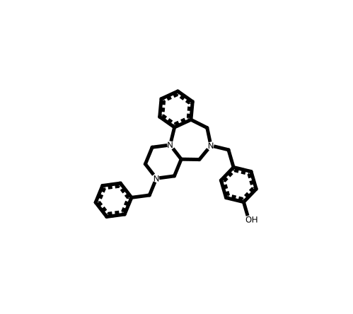 Oc1ccc(CN2Cc3ccccc3N3CCN(Cc4ccccc4)CC3C2)cc1